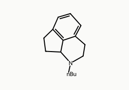 CCCCN1CCc2cccc3c2C1CC3